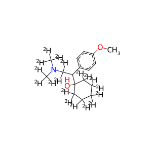 [2H]C([2H])([2H])N(C([2H])([2H])[2H])C([2H])([2H])C(c1ccc(OC)cc1)C1(O)C([2H])([2H])C([2H])([2H])C([2H])([2H])C([2H])([2H])C1([2H])[2H]